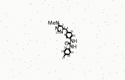 CNc1cc(Cc2ccc(NC(=O)Nc3ccc(C)cc3)cc2)ncn1